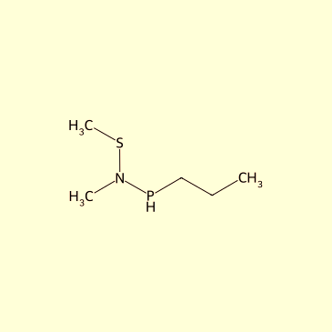 CCCPN(C)SC